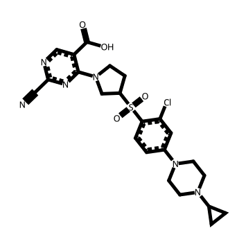 N#Cc1ncc(C(=O)O)c(N2CCC(S(=O)(=O)c3ccc(N4CCN(C5CC5)CC4)cc3Cl)C2)n1